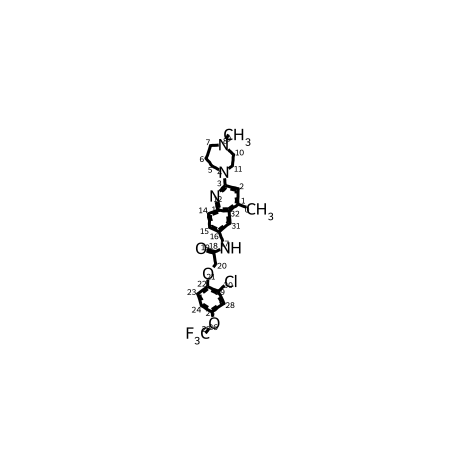 Cc1cc(N2CCCN(C)CC2)nc2ccc(NC(=O)COc3ccc(OC(F)(F)F)cc3Cl)cc12